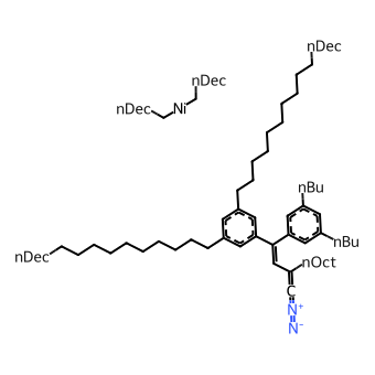 CCCCCCCCCCCCCCCCCCCCc1cc(CCCCCCCCCCCCCCCCCCCC)cc(C(=CC(=C=[N+]=[N-])CCCCCCCC)c2cc(CCCC)cc(CCCC)c2)c1.CCCCCCCCCC[CH2][Ni][CH2]CCCCCCCCCC